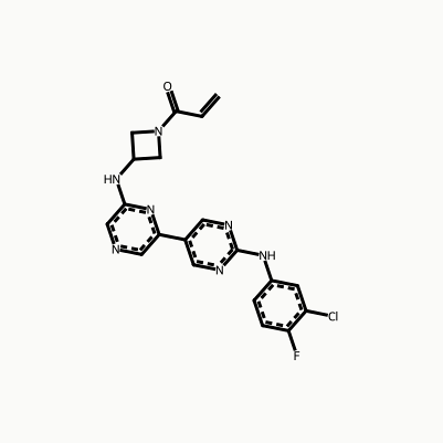 C=CC(=O)N1CC(Nc2cncc(-c3cnc(Nc4ccc(F)c(Cl)c4)nc3)n2)C1